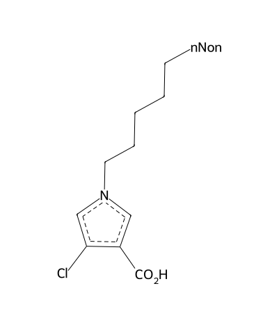 CCCCCCCCCCCCCCn1cc(Cl)c(C(=O)O)c1